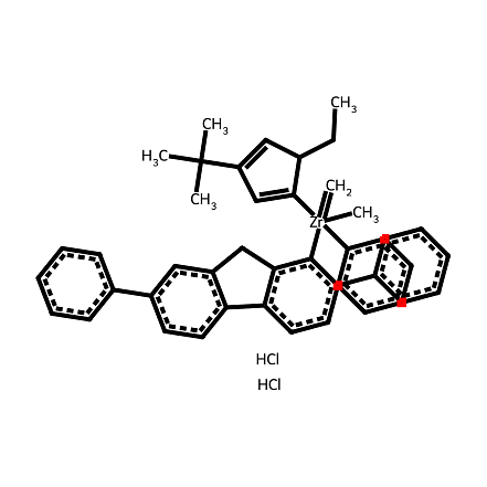 Cl.Cl.[CH2]=[Zr]([CH3])([C]1=CC(C(C)(C)C)=CC1CC)([c]1ccccc1)[c]1c(-c2ccccc2)ccc2c1Cc1cc(-c3ccccc3)ccc1-2